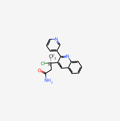 NC(=O)C[C@@](Cl)(c1cc2ccccc2nc1-c1cccnc1)C(F)(F)F